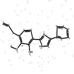 C=CCc1ccc(-c2nc(-c3ccccc3)c[nH]2)c(O)c1OC